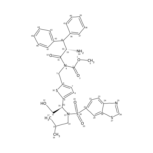 COC(=O)N(Cc1ccc([C@H](CO)N(CC(C)C)S(=O)(=O)c2ccc3ncsc3c2)s1)C(=O)[C@@H](N)C(c1ccccc1)c1ccccc1